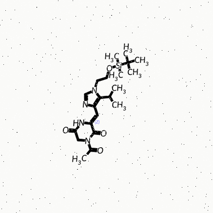 CC(=O)N1CC(=O)N/C(=C\c2ncn(CCO[Si](C)(C)C(C)(C)C)c2C(C)C)C1=O